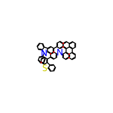 c1ccc(-c2cccc3cccc(-c4ccccc4N(c4ccc(-c5cccc6sc7ccccc7c56)cc4)c4ccccc4-c4ccc5c(c4)c4ccccc4n5-c4ccccc4)c23)cc1